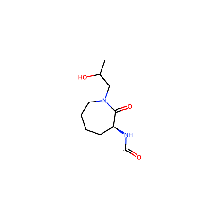 CC(O)CN1CCCC[C@H](N[C]=O)C1=O